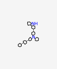 c1ccc(-c2ccc(-c3ccc(N(c4ccccc4)c4ccc(-c5ccc6[nH]c7ccccc7c6c5)cc4)cc3)cc2)cc1